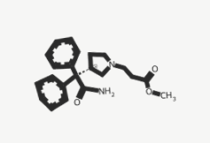 COC(=O)CCN1CC[C@@H](C(C(N)=O)(c2ccccc2)c2ccccc2)C1